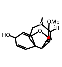 [2H]C1C2C=CC(OC)=C3OC4=CC(O)C=CC4(CCN1C)C32